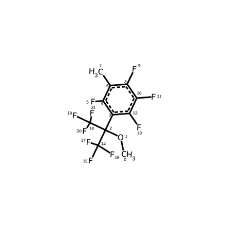 COC(c1c(F)c(C)c(F)c(F)c1F)(C(F)(F)F)C(F)(F)F